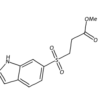 COC(=O)CCS(=O)(=O)c1ccc2cc[nH]c2c1